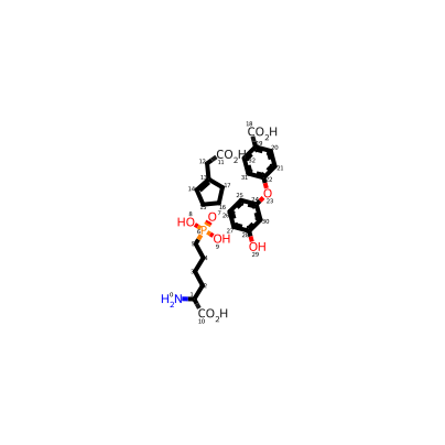 NC(CCCCP(=O)(O)O)C(=O)O.O=C(O)CC1=CCCC1.O=C(O)c1ccc(Oc2cccc(O)c2)cc1